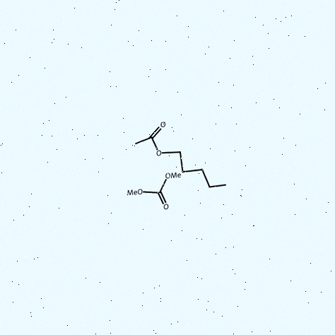 CCCCCOC(C)=O.COC(=O)OC